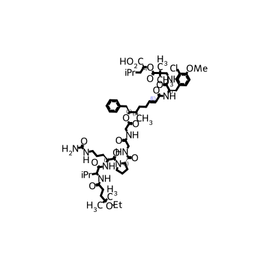 CCOC(C)(C)CCC(=O)NC(C(=O)N[C@@H](CCCNC(N)=O)C(=O)N1CCC[C@H]1C(=O)NCC(=O)NCC(=O)O[C@@H](Cc1ccccc1)[C@@H](C)CC/C=C/C(=O)N[C@H](Cc1ccc(OC)c(Cl)c1)C(=O)NCC(C)(C)C(=O)O[C@@H](CC(C)C)C(=O)O)C(C)C